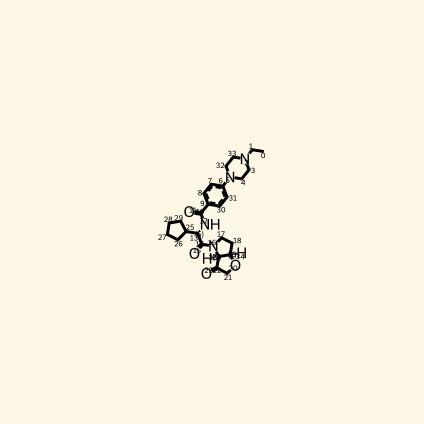 CCN1CCN(c2ccc(C(=O)N[C@H](C(=O)N3CC[C@H]4OCC(=O)[C@H]43)C3CCCC3)cc2)CC1